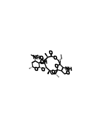 CC[C@H]1OC(=O)[C@H](C)[C@@H](O)[C@H](C)[C@@H](O[C@@H]2O[C@H](C)C[C@H](N(C)C)[C@H]2O)[C@@]2(C)C[C@@H](C)C3(OC1(C)C1NOCC13)O2